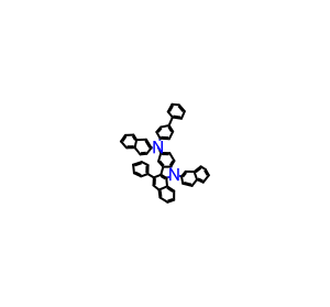 c1ccc(-c2ccc(N(c3ccc4ccccc4c3)c3ccc4c(c3)c3c(-c5ccccc5)cc5ccccc5c3n4-c3ccc4ccccc4c3)cc2)cc1